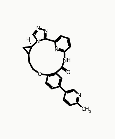 Cc1ccc(-c2ccc3c(c2)C(=O)Nc2cccc(n2)-c2nncn2[C@@H]2CC2CCO3)cn1